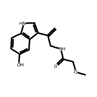 C=C(CNC(=O)COC)c1c[nH]c2ccc(O)cc12